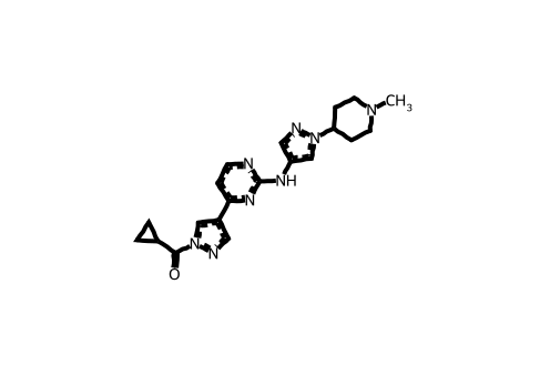 CN1CCC(n2cc(Nc3nccc(-c4cnn(C(=O)C5CC5)c4)n3)cn2)CC1